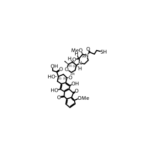 COc1cccc2c1C(=O)c1c(O)c3c(c(O)c1C2=O)C[C@@](O)(C(=O)CO)C[C@@H]3O[C@H]1C[C@H]2[C@H](O[C@@H]3[C@@H](OC)N(C(=O)CCS)CCN32)[C@H](C)O1